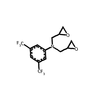 FC(F)(F)c1cc(N(CC2CO2)CC2CO2)cc(C(F)(F)F)c1